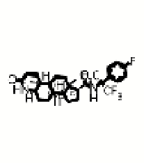 C[C@]12C=CC(=O)N[C@@H]1CC[C@@H]1[C@@H]2CC[C@]2(C)[C@@H](C(=O)NC(c3ccc(F)cc3)(C(F)(F)F)C(F)(F)F)CC[C@@H]12